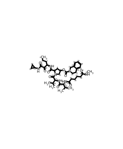 CCCC(NC(=O)C1CC(OC(=O)N2CCc3ccccc3C2)CN1C(=O)C(NC(=O)[C@@H](NC(=O)CCCCC(=O)NC)C(C)C)C(C)C)C(=O)C(=O)NC1CC1